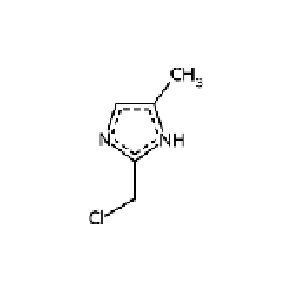 Cc1cnc(CCl)[nH]1